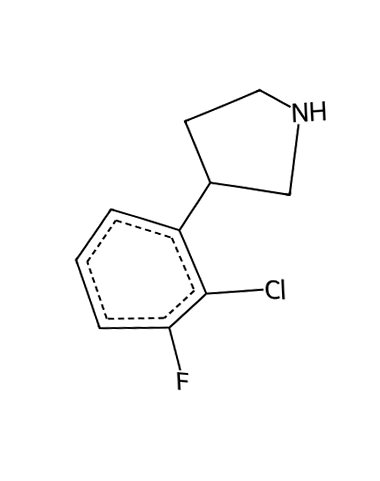 Fc1cccc(C2CCNC2)c1Cl